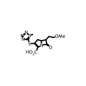 COCCC1C(=O)N2C(C(=O)O)=C(Sc3nnnn3C)CC12